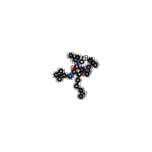 CC(C)(C)c1cccc(N(c2cc3oc4cc(N5C=CC=C(c6ccc7c(c6)-c6ccccc6C76c7ccccc7-c7ccccc76)C5)cc5c6cc(-c7ccc(-c8cccc(-c9ccc%10c(c9)-c9ccccc9C%10(C)C)c8)cc7)cc7oc8c(N9c%10ccccc%10C=C%10C=C(c%11c%12ccccc%12cc%12ccccc%11%12)C=CC%109)ccc(c(c2)c3c45)c8c76)c2ccc(-c3ccccc3)c3ccccc23)c1